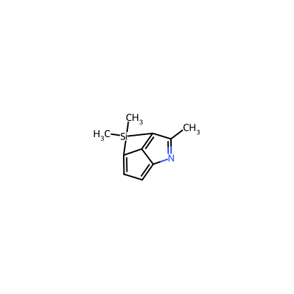 CC1=NC2=CC=C3C2=C1[Si]3(C)C